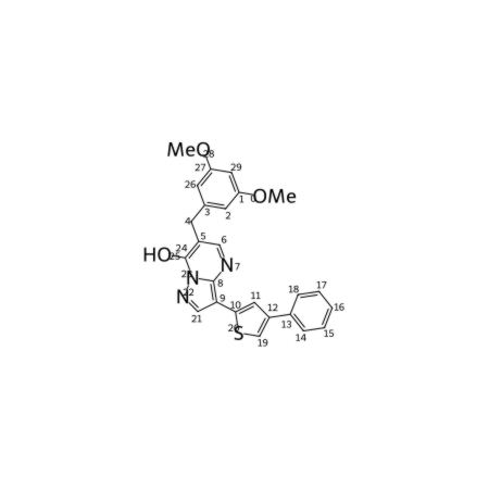 COc1cc(Cc2cnc3c(-c4cc(-c5ccccc5)cs4)cnn3c2O)cc(OC)c1